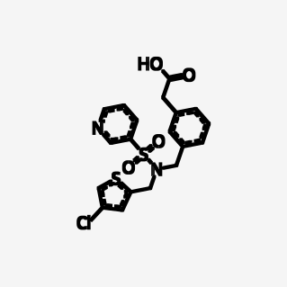 O=C(O)Cc1cccc(CN(Cc2cc(Cl)cs2)S(=O)(=O)c2cccnc2)c1